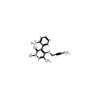 CC#CCOc1c(C)nn(CC)c(=O)c1-c1ccccc1C